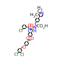 Cc1nccc(-c2ccc(CC(NC(=O)[C@@H]3Cc4cc5c(cc4CN3C(=O)c3cccc(Cl)c3)O[C@@H](c3ccc(OCc4ccc(Cl)c(Cl)c4)cc3)CO5)C(=O)O)cc2)c1C